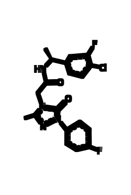 Cc1nn(-c2ccc(F)cc2)c(=O)n1CC(=O)N[C@@H](C)c1ccc(Cl)c(F)c1